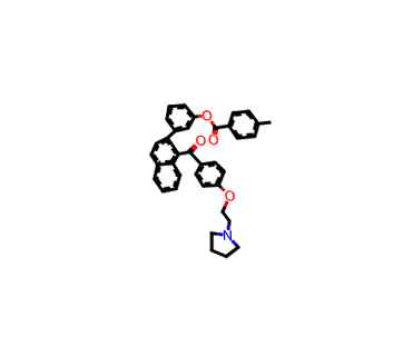 Cc1ccc(C(=O)Oc2cccc(-c3ccc4ccccc4c3C(=O)c3ccc(OCCN4CCCC4)cc3)c2)cc1